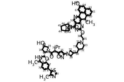 Cc1ncsc1-c1ccc([C@H](C)NC(=O)[C@@H]2C[C@@H](O)CN2C(=O)[C@H](c2cc(N3CC(CC4CCN(CCOc5nc(N6CC7CCC(C6)N7C=O)c6cnc7c(c6n5)C(C)c5cccc6cc(O)cc-7c56)CC4)C3)no2)C(C)C)cc1